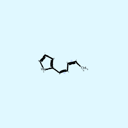 C/C=C\C=C/c1ccc[nH]1